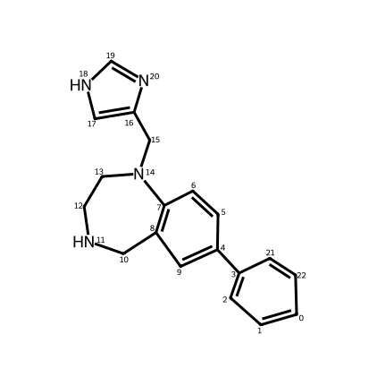 c1ccc(-c2ccc3c(c2)CNCCN3Cc2c[nH]cn2)cc1